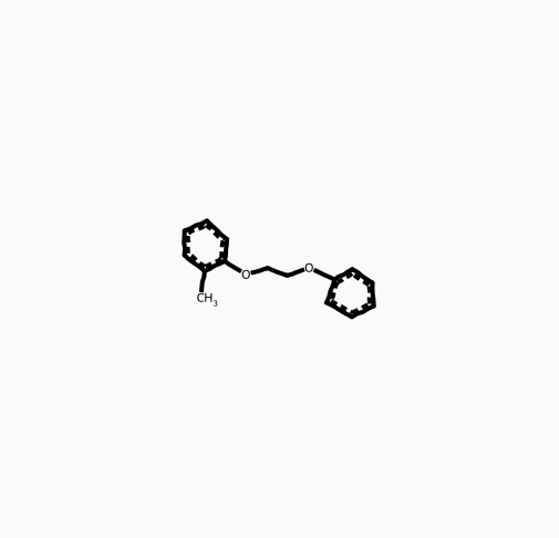 Cc1ccccc1OCCOc1ccccc1